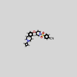 N#Cc1ccc(S(=O)(=O)N2CCC(Oc3ccc4c(c3)CCN(C3CCC3)CC4)CC2)cc1